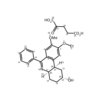 CCOc1cc2c(cc1OC)C(c1cnccn1)=N[C@@H]1CC[C@@H](O)C[C@H]21.O=C(O)CCC(=O)C(=O)O